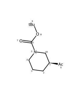 CC(=O)[C@H]1CCCN(C(=O)OC(C)(C)C)C1